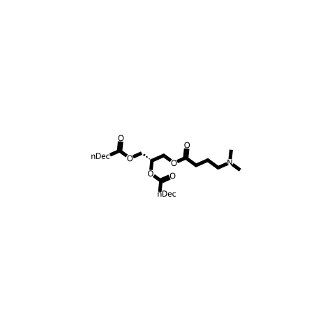 CCCCCCCCCCC(=O)OC[C@H](COC(=O)CCCN(C)C)OC(=O)CCCCCCCCCC